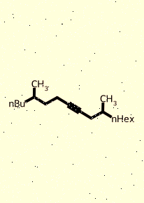 [CH2]CCCCCC(C)CC#CCCC(C)CCC[CH2]